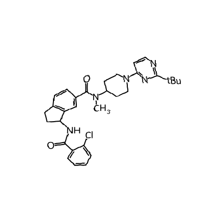 CN(C(=O)c1ccc2c(c1)C(NC(=O)c1ccccc1Cl)CC2)C1CCN(c2ccnc(C(C)(C)C)n2)CC1